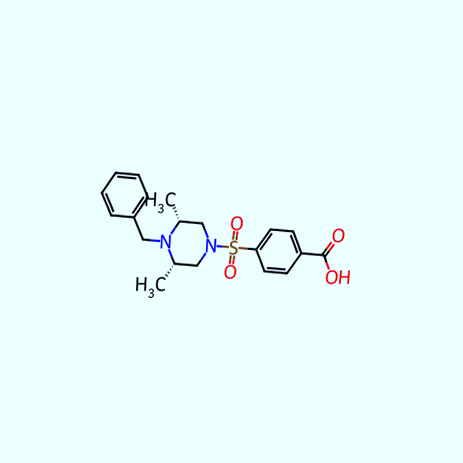 C[C@@H]1CN(S(=O)(=O)c2ccc(C(=O)O)cc2)C[C@H](C)N1Cc1ccccc1